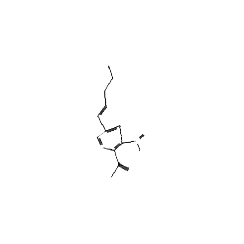 C=C(C)c1ncc(/C=C/CCC)cc1[N+](=O)[O-]